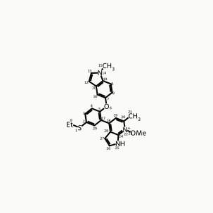 CCSc1ccc(Oc2ccc3c(ccn3C)c2)c(-c2cc(C)[n+](OC)c3[nH]ccc23)c1